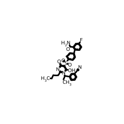 CCCCc1nc(=O)c(S(=O)(=O)c2ccc(-c3ccc(F)cc3C(N)=O)cc2)c(O)n1C(CC)c1cccc(C#N)c1